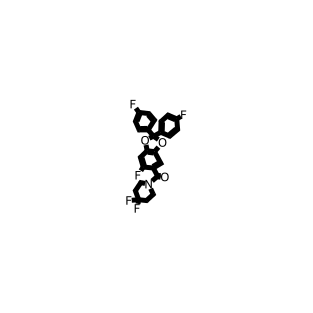 O=C(c1cc2c(cc1F)OC(c1ccc(F)cc1)(c1ccc(F)cc1)O2)N1CCC(F)(F)CC1